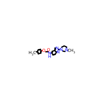 Cc1ccc(OCC(=O)Nc2ccc3nc(N4CCCN(C)CC4)ncc3c2)cc1